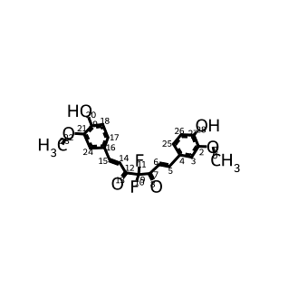 COc1cc(/C=C/C(=O)C(F)(F)C(=O)/C=C/c2ccc(O)c(OC)c2)ccc1O